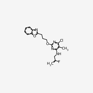 C=C(F)CNc1nc(OCCCc2nc3ccccc3o2)nc(Cl)c1C